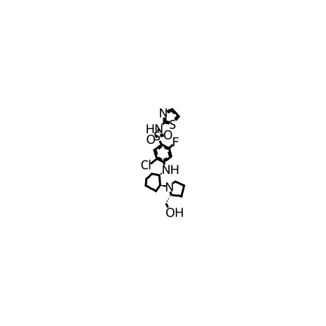 O=S(=O)(Nc1nccs1)c1cc(Cl)c(N[C@H]2CCCC[C@@H]2N2CCC[C@@H]2CO)cc1F